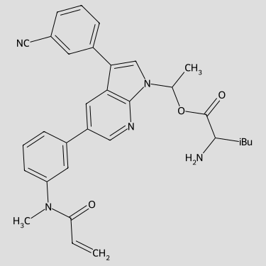 C=CC(=O)N(C)c1cccc(-c2cnc3c(c2)c(-c2cccc(C#N)c2)cn3C(C)OC(=O)C(N)C(C)CC)c1